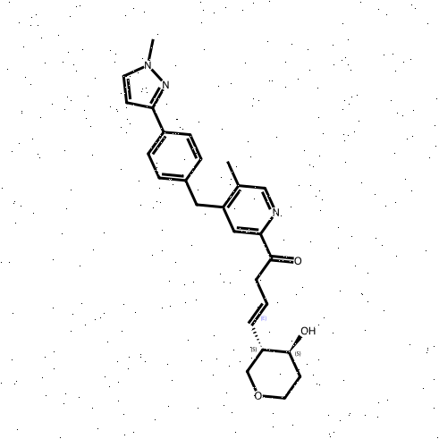 Cc1cnc(C(=O)C/C=C/[C@H]2COCC[C@@H]2O)cc1Cc1ccc(-c2ccn(C)n2)cc1